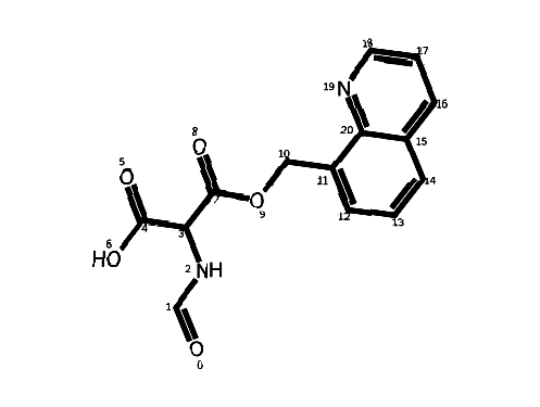 O=CNC(C(=O)O)C(=O)OCc1cccc2cccnc12